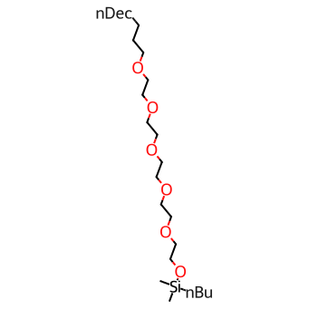 CCCCCCCCCCCCCOCCOCCOCCOCCOCCO[Si](C)(C)CCCC